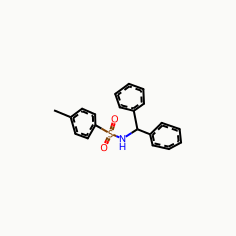 Cc1ccc(S(=O)(=O)NC(c2ccccc2)c2ccccc2)cc1